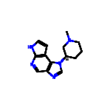 CN1CCC[C@@H](n2cnc3cnc4[nH]ccc4c32)C1